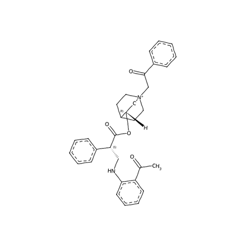 CC(=O)c1ccccc1NC[C@@H](C(=O)O[C@H]1C[N+]2(CC(=O)c3ccccc3)CCC1CC2)c1ccccc1